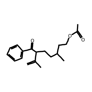 C=C(C)C(CCC(C)CCOC(C)=O)C(=O)c1ccccc1